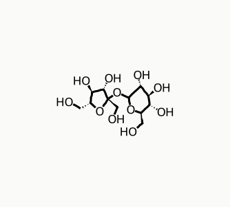 OC[C@H]1O[C@@](CO)(OC2O[C@H](CO)[C@@H](O)[C@H](O)[C@H]2O)[C@@H](O)[C@@H]1O